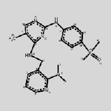 CN(C)c1ncccc1CNc1nc(Nc2ccc(P(C)(C)=O)cc2)ncc1C(F)(F)F